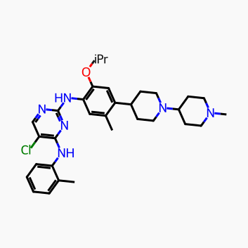 Cc1ccccc1Nc1nc(Nc2cc(C)c(C3CCN(C4CCN(C)CC4)CC3)cc2OC(C)C)ncc1Cl